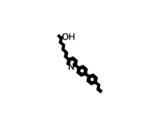 C=CCc1ccc(-c2ccc(-c3ccc(C=CCCCC(C)O)cn3)cc2)cc1